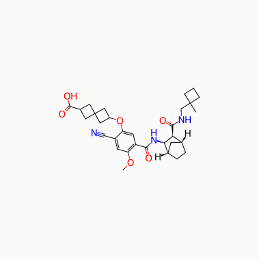 COc1cc(C#N)c(OC2CC3(C2)CC(C(=O)O)C3)cc1C(=O)N[C@@H]1[C@H]2CC[C@H](C2)[C@@H]1C(=O)NCC1(C)CCC1